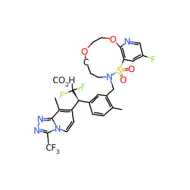 Cc1ccc([C@@H](c2ccn3c(C(F)(F)F)nnc3c2C)C(F)(F)C(=O)O)cc1CN1CCCOCCOc2ncc(F)cc2S1(=O)=O